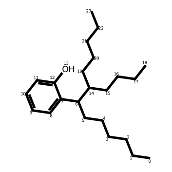 CCCCCCC(c1ccccc1O)C(CCCC)CCCCC